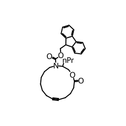 CCCC1COC(=O)CCCC#CCCCCCCN1C(=O)OCC1c2ccccc2-c2ccccc21